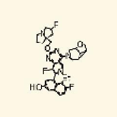 CCc1c(F)ccc2cc(O)cc(-c3ncc4c(N5CC6OCC7C(C5)C67)nc(OCC56CCCN5CC(F)C6)nc4c3F)c12